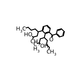 CCCCC(CC(C)O)c1cccc(C(=O)c2ccccc2)c1C(CCCC)CC(C)O